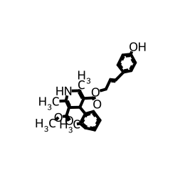 COC(=O)C1=C(C)NC(C)=C(C(=O)OCC=Cc2ccc(O)cc2)C1c1ccccc1C